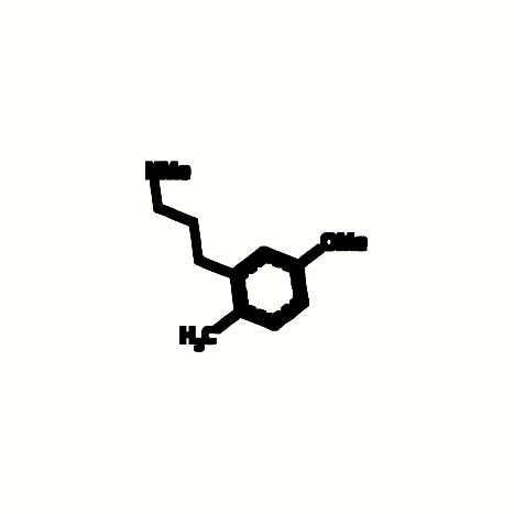 CNCCCc1cc(OC)ccc1C